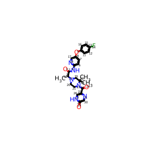 C[C@H](C(=O)Nc1ccc(Oc2ccc(F)cc2)cn1)N1CCN(C(=O)c2c[nH]c(=O)cn2)C(C)(C)C1